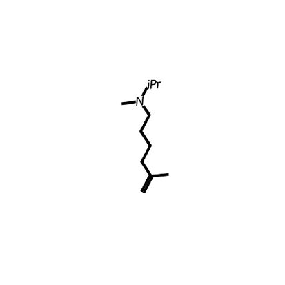 C=C(C)CCCCN(C)C(C)C